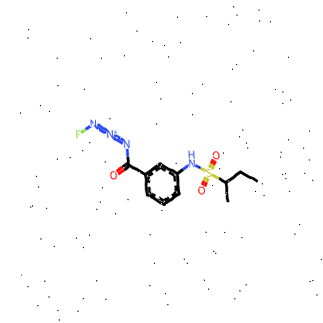 CCC(C)S(=O)(=O)Nc1cccc(C(=O)N=[N+]=NF)c1